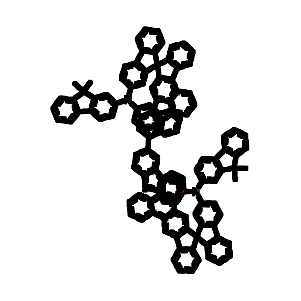 CC1(C)c2ccccc2-c2ccc(N(c3ccc4c(c3)C3(c5ccccc5-4)c4ccccc4-c4c3cc3c5c(cccc45)-c4cc(-c5ccc6sc7ccc(N(c8ccc9c(c8)C(C)(C)c8ccccc8-9)c8ccc9c(c8)C8(c%10ccccc%10-9)c9ccccc9-c9cc%10c%11ccccc%11c%11ccccc%11c%10cc98)cc7c6c5)ccc4-3)c3ccc4ccccc4c3)cc21